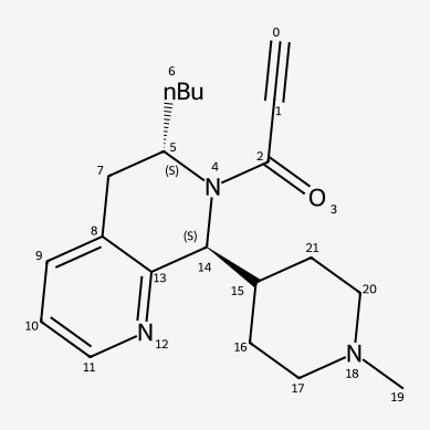 C#CC(=O)N1[C@@H](CCCC)Cc2cccnc2[C@@H]1C1CCN(C)CC1